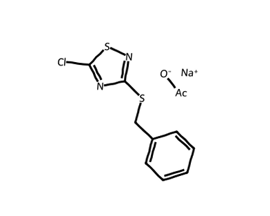 CC(=O)[O-].Clc1nc(SCc2ccccc2)ns1.[Na+]